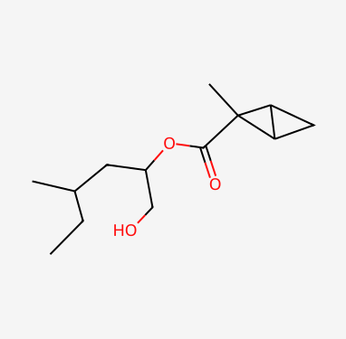 CCC(C)CC(CO)OC(=O)C1(C)C2CC21